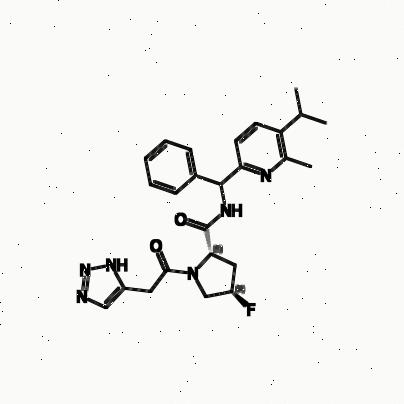 Cc1nc(C(NC(=O)[C@@H]2C[C@@H](F)CN2C(=O)Cc2cnn[nH]2)c2ccccc2)ccc1C(C)C